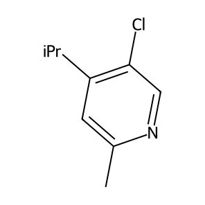 Cc1cc(C(C)C)c(Cl)cn1